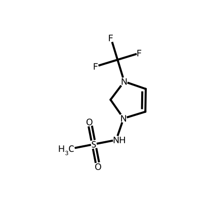 CS(=O)(=O)NN1C=CN(C(F)(F)F)C1